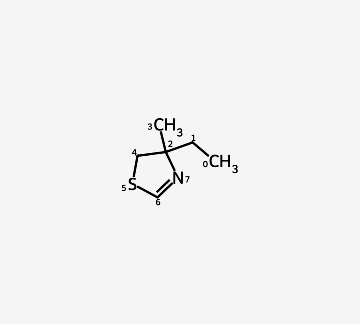 CCC1(C)CSC=N1